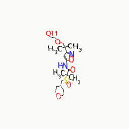 CC(C)(COCCO)c1cc(NC(=O)C(C)(C)[S+]([O-])CC2CCOCC2)on1